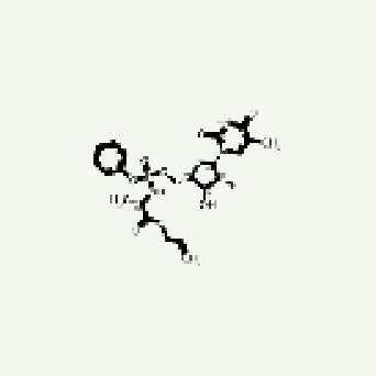 C=CCOC(=O)[C@H](C)NP(=O)(OC[C@@H]1O[C@H](n2cc(C)c(=O)[nH]c2=O)[C@H](F)[C@H]1O)Oc1ccccc1